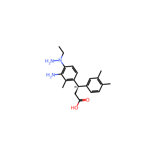 CCN(N)c1ccc([C@H](CC(=O)O)c2ccc(C)c(C)c2)c(C)c1N